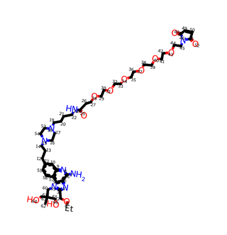 CCOCc1nc2c(N)nc3cc(CCCN4CCN(CCCCNC(=O)CCOCCOCCOCCOCCOCCOCCN5C(=O)C=CC5=O)CC4)ccc3c2n1CC(C)(CO)CO